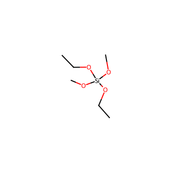 CCO[Si](OC)(OC)OCC